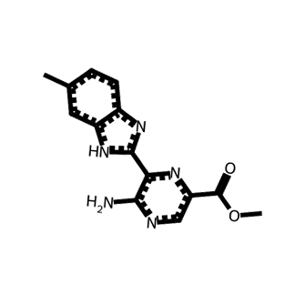 COC(=O)c1cnc(N)c(-c2nc3ccc(C)cc3[nH]2)n1